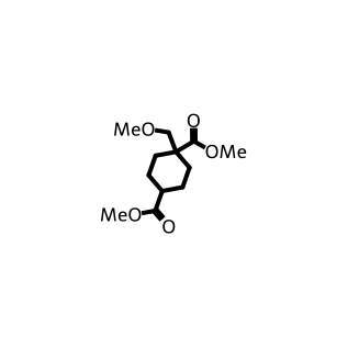 COCC1(C(=O)OC)CCC(C(=O)OC)CC1